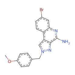 COc1ccc(Cn2cc3c(n2)c(N)nc2cc(Br)ccc23)cc1